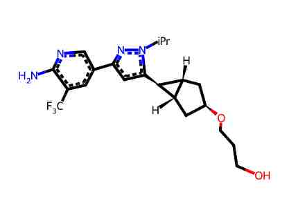 CC(C)n1nc(-c2cnc(N)c(C(F)(F)F)c2)cc1[C@H]1[C@@H]2C[C@@H](OCCCO)C[C@@H]21